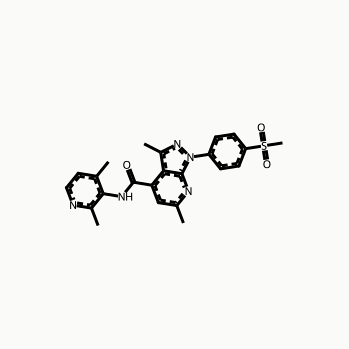 Cc1cc(C(=O)Nc2c(C)ccnc2C)c2c(C)nn(-c3ccc(S(C)(=O)=O)cc3)c2n1